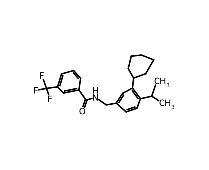 C[C](C)c1ccc(CNC(=O)c2cccc(C(F)(F)F)c2)cc1C1CCCCC1